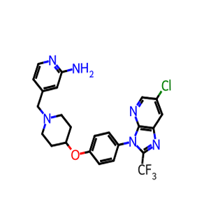 Nc1cc(CN2CCC(Oc3ccc(-n4c(C(F)(F)F)nc5cc(Cl)cnc54)cc3)CC2)ccn1